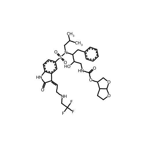 CC(C)CN(C(Cc1ccccc1)C(O)CNC(=O)OC1COC2OCCC12)S(=O)(=O)c1ccc2c(c1)C(=CCNCC(F)(F)F)C(=O)N2